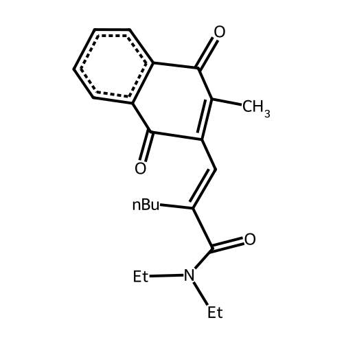 CCCCC(=CC1=C(C)C(=O)c2ccccc2C1=O)C(=O)N(CC)CC